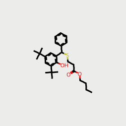 CCCCOC(=O)CCSC(c1ccccc1)c1cc(C(C)(C)C)cc(C(C)(C)C)c1O